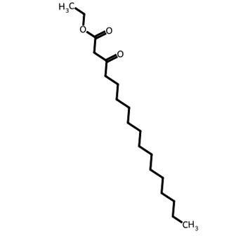 CCCCCCCCCCCCCCC(=O)CC(=O)OCC